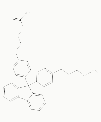 CC(C)C(=O)OCCOc1ccc(C2(c3ccc(CCCOC(C)(C)C)cc3)c3ccccc3-c3ccccc32)cc1